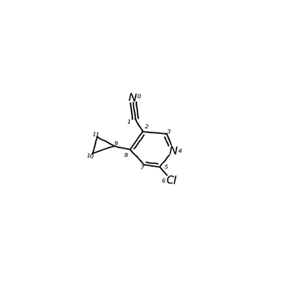 N#Cc1cnc(Cl)cc1C1CC1